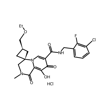 CCOC[C@H]1C[C@@]2(CN(C)C(=O)c3c(O)c(=O)c(C(=O)NCc4cccc(Cl)c4F)cn32)C1.Cl